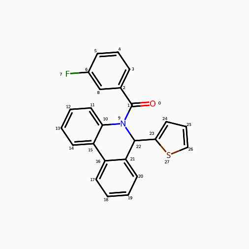 O=C(c1cccc(F)c1)N1c2ccccc2-c2ccccc2C1c1cccs1